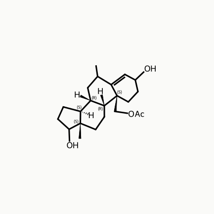 CC(=O)OC[C@]12CCC(O)C=C1C(C)C[C@@H]1[C@H]2CC[C@]2(C)C(O)CC[C@@H]12